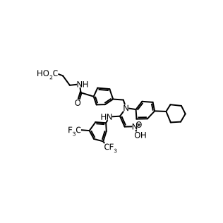 O=C(O)CCNC(=O)c1ccc(CN(/C(=C\[N+](=O)O)Nc2cc(C(F)(F)F)cc(C(F)(F)F)c2)c2ccc(C3CCCCC3)cc2)cc1